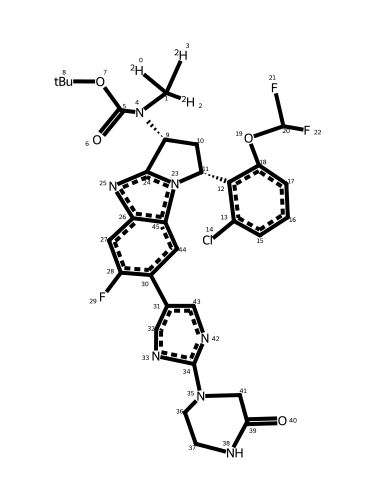 [2H]C([2H])([2H])N(C(=O)OC(C)(C)C)[C@@H]1C[C@H](c2c(Cl)cccc2OC(F)F)n2c1nc1cc(F)c(-c3cnc(N4CCNC(=O)C4)nc3)cc12